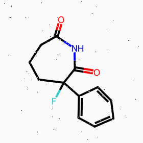 O=C1CCCC(F)(c2ccccc2)C(=O)N1